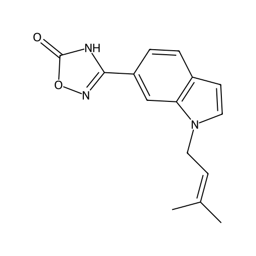 CC(C)=CCn1ccc2ccc(-c3noc(=O)[nH]3)cc21